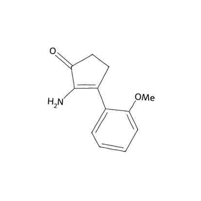 COc1ccccc1C1=C(N)C(=O)CC1